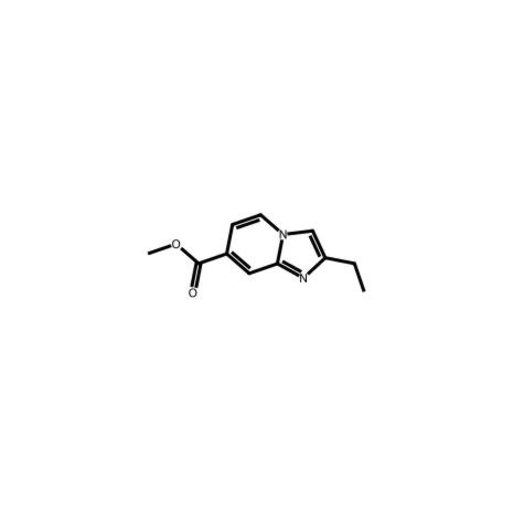 CCc1cn2ccc(C(=O)OC)cc2n1